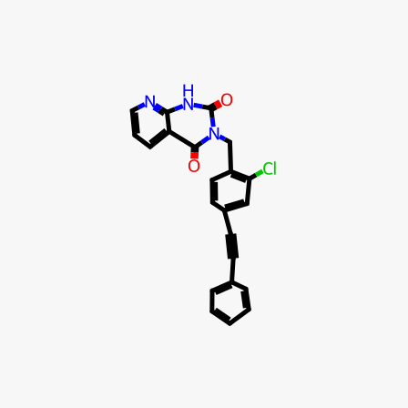 O=c1[nH]c2ncccc2c(=O)n1Cc1ccc(C#Cc2ccccc2)cc1Cl